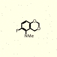 CNc1c(F)ccc2c1COCO2